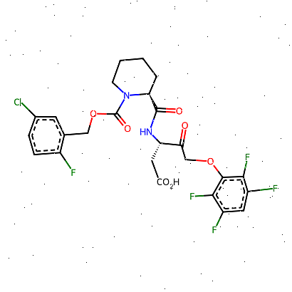 O=C(O)C[C@H](NC(=O)[C@@H]1CCCCN1C(=O)OCc1cc(Cl)ccc1F)C(=O)COc1c(F)c(F)cc(F)c1F